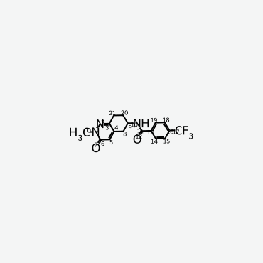 Cn1nc2c(cc1=O)CC(NC(=O)c1ccc(C(F)(F)F)cc1)CC2